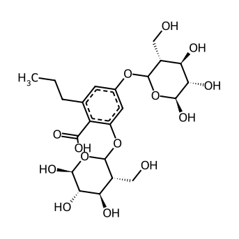 CCCc1cc(OC2O[C@H](O)[C@@H](O)[C@H](O)[C@H]2CO)cc(OC2O[C@H](O)[C@@H](O)[C@H](O)[C@H]2CO)c1C(=O)O